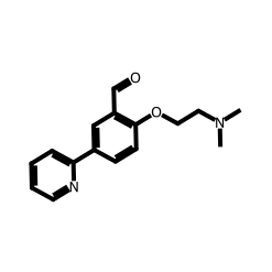 CN(C)CCOc1ccc(-c2ccccn2)cc1C=O